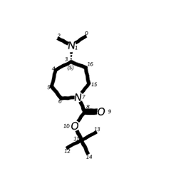 CN(C)[C@H]1CCCN(C(=O)OC(C)(C)C)CC1